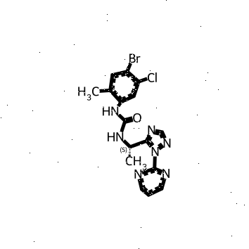 Cc1cc(Br)c(Cl)cc1NC(=O)N[C@@H](C)c1ncnn1-c1ncccn1